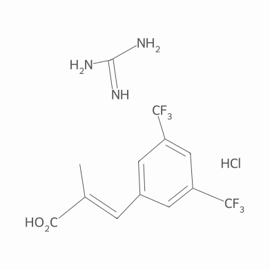 C/C(=C\c1cc(C(F)(F)F)cc(C(F)(F)F)c1)C(=O)O.Cl.N=C(N)N